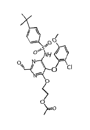 COc1ccc(Cl)c(Oc2c(NS(=O)(=O)c3ccc(C(C)(C)C)cc3)nc(C=O)nc2OCCOC(C)=O)c1